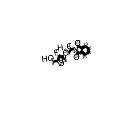 C[C@@H](COc1noc(CO)c1F)N1C(=O)c2ccccc2C1=O